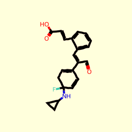 O=CC(=Cc1ccccc1C=CC(=O)O)C1=CCC(F)(NC2CC2)C=C1